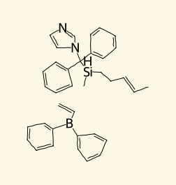 C=CB(c1ccccc1)c1ccccc1.CC=CCC[SiH](C)C(c1ccccc1)(c1ccccc1)n1ccnc1